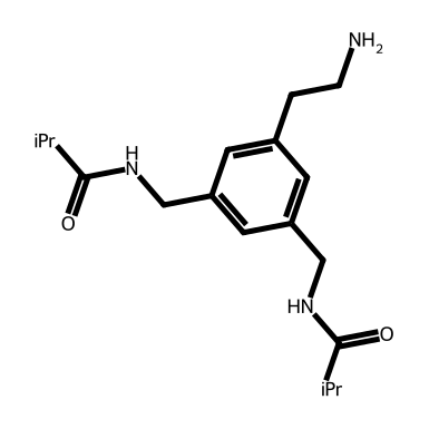 CC(C)C(=O)NCc1cc(CCN)cc(CNC(=O)C(C)C)c1